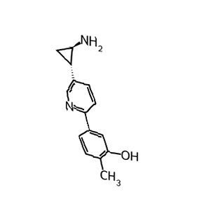 Cc1ccc(-c2ccc([C@@H]3C[C@H]3N)cn2)cc1O